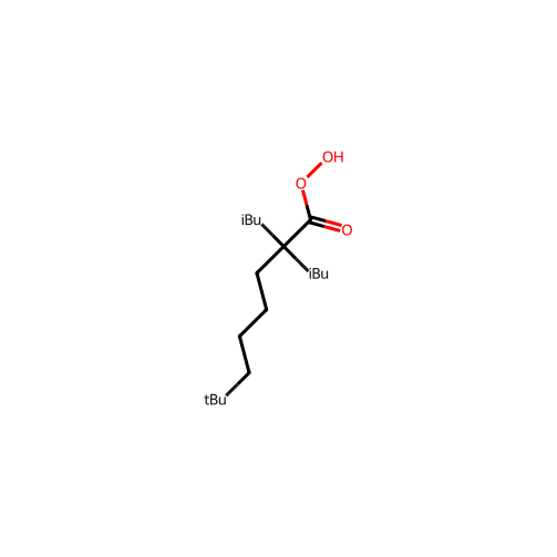 CCC(C)C(CCCCC(C)(C)C)(C(=O)OO)C(C)CC